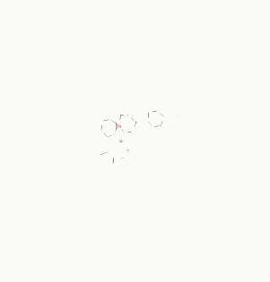 Cc1nc(-c2ccc(O)cc2)c2c(n1)[C@@]1(c3ccccc3)CC(=CO)C(=O)[C@@H](C)[C@@H]1CC2